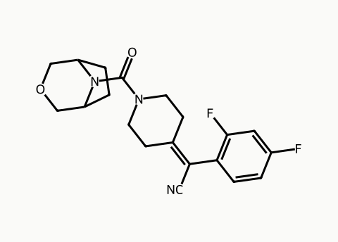 N#CC(=C1CCN(C(=O)N2C3CCC2COC3)CC1)c1ccc(F)cc1F